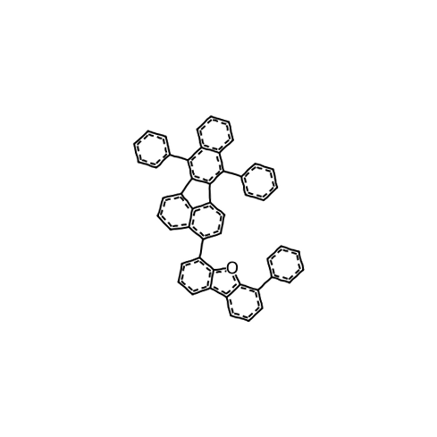 c1ccc(-c2c3c(c(-c4ccccc4)c4ccccc24)-c2ccc(-c4cccc5c4oc4c(-c6ccccc6)cccc45)c4cccc-3c24)cc1